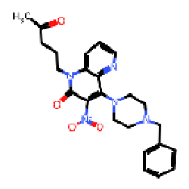 CC(=O)CCCn1c(=O)c([N+](=O)[O-])c(N2CCN(Cc3ccccc3)CC2)c2ncccc21